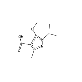 COc1c(C(=O)O)c(C)nn1C(C)C